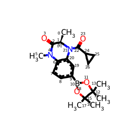 C[C@@H]1C(=O)N(C)c2ccc(B3OC(C)(C)C(C)(C)O3)cc2N1C(=O)C1CC1